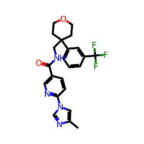 Cc1cn(-c2ccc(C(=O)NCC3(c4cccc(C(F)(F)F)c4)CCOCC3)cn2)cn1